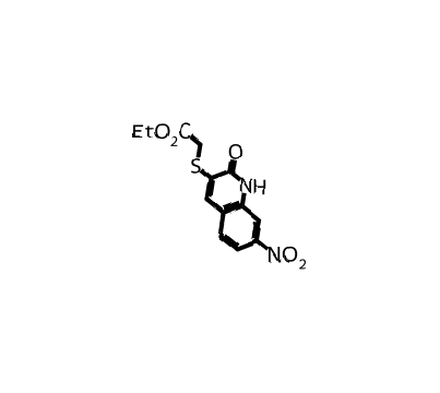 CCOC(=O)CSc1cc2ccc([N+](=O)[O-])cc2[nH]c1=O